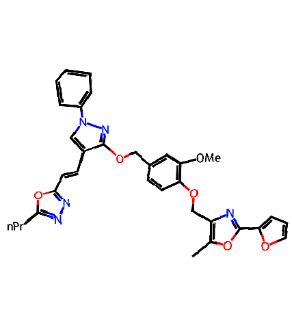 CCCc1nnc(C=Cc2cn(-c3ccccc3)nc2OCc2ccc(OCc3nc(-c4ccco4)oc3C)c(OC)c2)o1